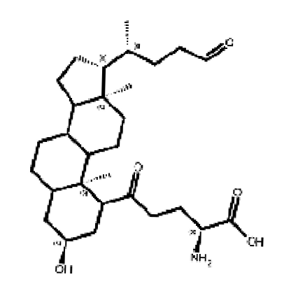 C[C@H](CC[C]=O)[C@H]1CCC2C3CCC4C[C@H](O)CC(C(=O)CC[C@H](N)C(=O)O)[C@]4(C)C3CC[C@@]21C